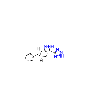 c1ccc(C2[C@H]3c4n[nH]c(-c5nn[nH]n5)c4C[C@@H]23)cc1